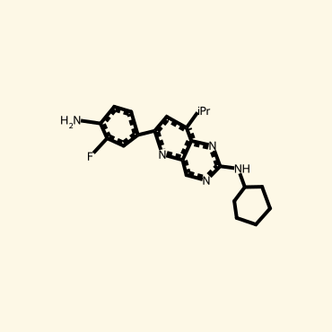 CC(C)c1cc(-c2ccc(N)c(F)c2)nc2cnc(NC3CCCCC3)nc12